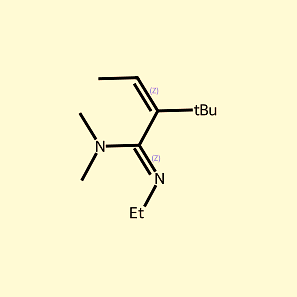 C/C=C(\C(=N\CC)N(C)C)C(C)(C)C